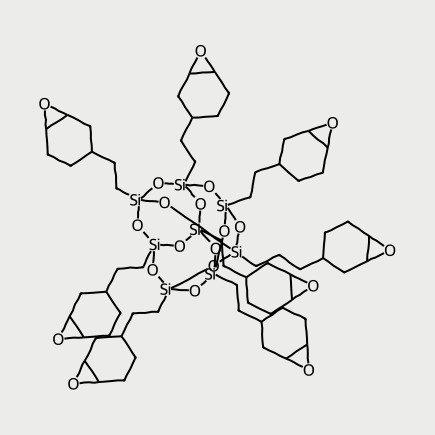 C(CC1CCC2OC2C1)C[Si]12O[Si]3(CCC4CCC5OC5C4)O[Si]4(CCC5CCC6OC6C5)O[Si](CCC5CCC6OC6C5)(O1)O[Si]1(CCC5CCC6OC6C5)O[Si](CCC5CCC6OC6C5)(O2)O[Si](CCC2CCC5OC5C2)(O3)O[Si](CCC2CCC3OC3C2)(O4)O1